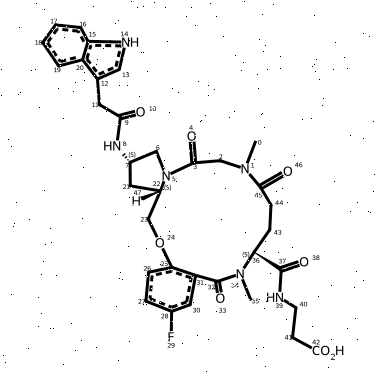 CN1CC(=O)N2C[C@@H](NC(=O)Cc3c[nH]c4ccccc34)C[C@H]2COc2ccc(F)cc2C(=O)N(C)[C@H](C(=O)NCCC(=O)O)CCC1=O